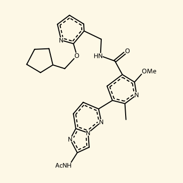 COc1nc(C)c(-c2ccc3nc(NC(C)=O)cn3n2)cc1C(=O)NCc1cccnc1OCC1CCCC1